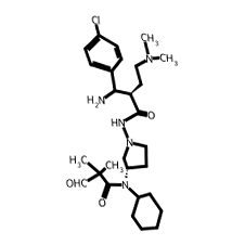 CN(C)CC[C@@H](C(=O)NN1CC[C@H](N(C(=O)C(C)(C)C=O)C2CCCCC2)C1)C(N)c1ccc(Cl)cc1